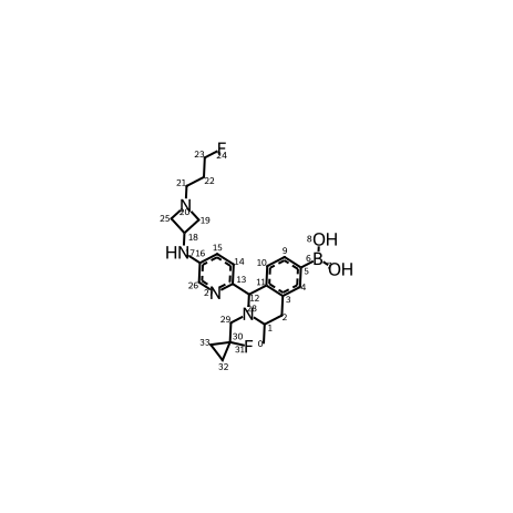 CC1Cc2cc(B(O)O)ccc2C(c2ccc(NC3CN(CCCF)C3)cn2)N1CC1(F)CC1